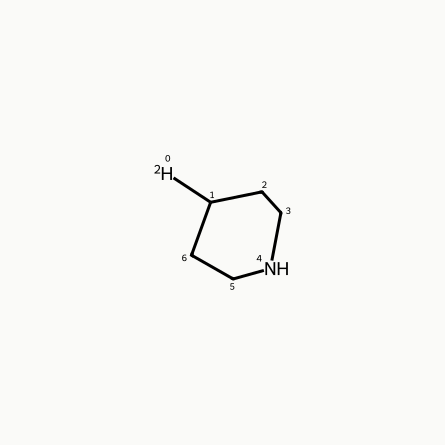 [2H]C1CCNCC1